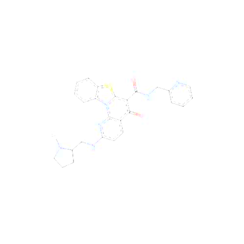 CCN1CCCC1CNc1ccc2c(=O)c(C(=O)NCc3ccccn3)c3sc4ccccc4n3c2n1